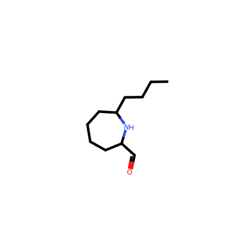 CCCCC1CCCCC(C=O)N1